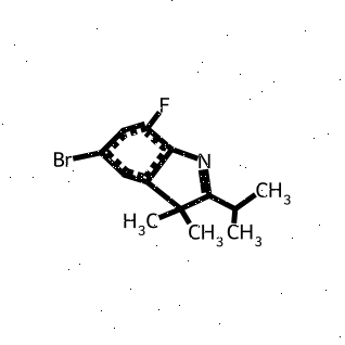 CC(C)C1=Nc2c(F)cc(Br)cc2C1(C)C